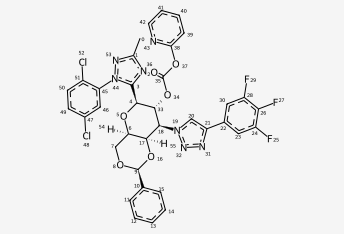 Cc1nc([C@@H]2O[C@@H]3CO[C@H](c4ccccc4)O[C@@H]3[C@H](n3cc(-c4cc(F)c(F)c(F)c4)nn3)[C@H]2OC(=O)Oc2ccccn2)n(-c2cc(Cl)ccc2Cl)n1